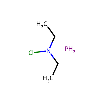 CCN(Cl)CC.P